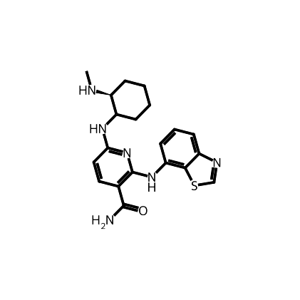 CN[C@H]1CCCCC1Nc1ccc(C(N)=O)c(Nc2cccc3ncsc23)n1